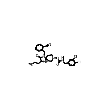 CSCCC1NC2(CCN(OC(=O)NCc3ccc(Cl)c(Cl)c3)CC2)N(Cc2ccccc2C#N)C1=O